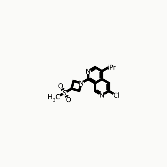 CC(C)c1cnc(N2CC(S(C)(=O)=O)C2)c2cnc(Cl)cc12